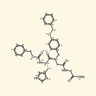 COC(=O)CNC(=O)CN(Cc1ccc(OCc2ccccc2)cc1)C(=O)[C@H](Cc1c[nH]cn1)NC(=O)OCc1ccccc1